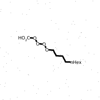 CCCCCCCCCCOOOOC(=O)O